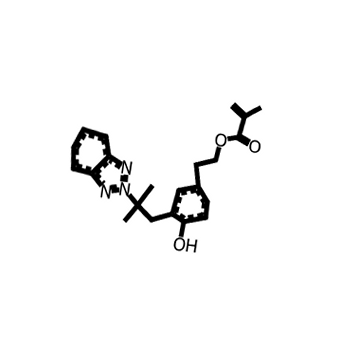 C=C(C)C(=O)OCCc1ccc(O)c(CC(C)(C)n2nc3ccccc3n2)c1